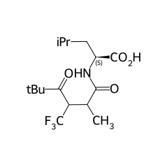 CC(C)C[C@H](NC(=O)C(C)C(C(=O)C(C)(C)C)C(F)(F)F)C(=O)O